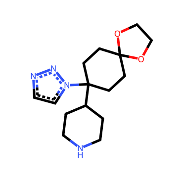 c1cn(C2(C3CCNCC3)CCC3(CC2)OCCO3)nn1